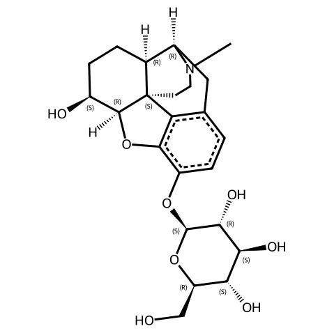 CN1CC[C@]23c4c5ccc(O[C@@H]6O[C@H](CO)[C@@H](O)[C@H](O)[C@H]6O)c4O[C@H]2[C@@H](O)CC[C@H]3[C@H]1C5